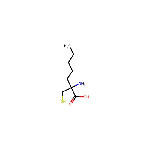 CCCCCC(N)(CS)C(=O)O